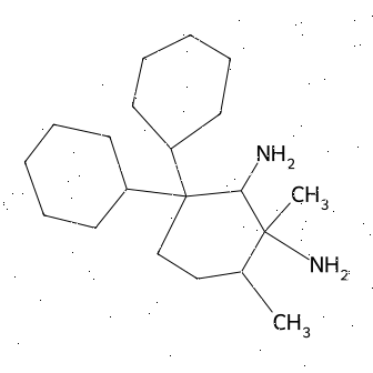 CC1CCC(C2CCCCC2)(C2CCCCC2)C(N)C1(C)N